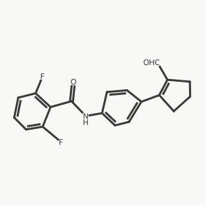 O=CC1=C(c2ccc(NC(=O)c3c(F)cccc3F)cc2)CCC1